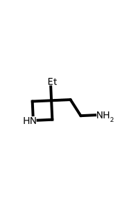 CCC1(CCN)CNC1